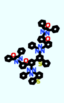 c1ccc(-c2nc(-c3cc(-c4cc(-c5nc(-c6ccccc6)nc(-c6cccc7sc8ccccc8c67)n5)c5c(c4)oc4c(-c6nc(-c7ccccc7)c7oc8ccccc8c7n6)cccc45)c4sc5ccccc5c4c3)nc(-c3cccc4oc5c(-c6nc(-c7ccccc7)c7oc8ccccc8c7n6)cccc5c34)n2)cc1